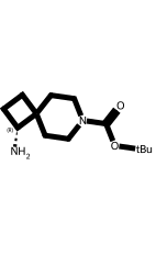 CC(C)(C)OC(=O)N1CCC2(CC[C@H]2N)CC1